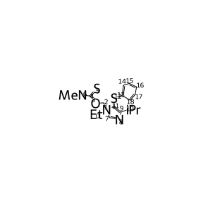 CC[N+]1(COC(=S)NC)C=NC(C(C)C)=C1Sc1ccccc1